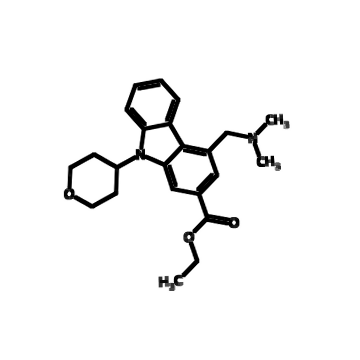 CCOC(=O)c1cc(CN(C)C)c2c3ccccc3n(C3CCOCC3)c2c1